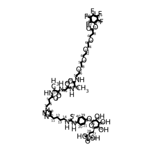 C[C@H](NC(=O)CCCn1cc(CCCCNC(=S)Nc2ccc(O[C@H]3O[C@H](CCP(=O)(O)O)[C@@H](O)[C@H](O)[C@@H]3O)cc2)nn1)C(=O)NCC(=O)N[C@@H](C)C(=O)NCCOCCOCCOCCOCCC(=O)Oc1c(F)c(F)c(F)c(F)c1F